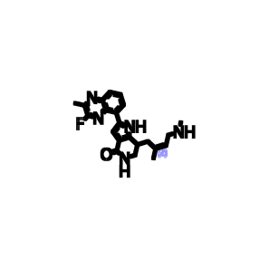 CNC/C=C(/C)CC1CNC(=O)c2cc(-c3cccc4nc(C)c(F)nc34)[nH]c21